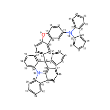 c1ccc(C2(c3ccc4oc5ccc(-n6c7ccccc7c7ccccc76)cc5c4c3)c3ccccc3-n3c4ccccc4c4cccc2c43)cc1